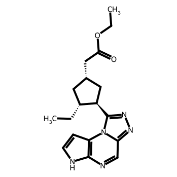 CCOC(=O)C[C@H]1C[C@@H](CC)[C@H](c2nnc3cnc4[nH]ccc4n23)C1